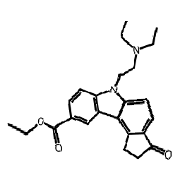 CCOC(=O)c1ccc2c(c1)c1c3c(ccc1n2CCN(CC)CC)C(=O)CC3